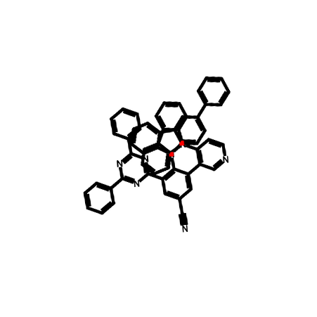 N#Cc1cc(-c2nc(-c3ccccc3)nc(-c3ccccc3)n2)c(-n2c3ccccc3c3cc(-c4ccccc4)ccc32)c(-c2cnccc2-n2c3ccccc3c3ccccc32)c1